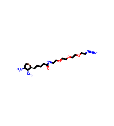 [N-]=[N+]=NCCOCCOCCOCCNC(=O)CCCC[C@@H]1SC[C@H](N)[C@@H]1N